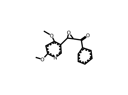 COc1cc(OC)c(C2OC2C(=O)c2ccccc2)cn1